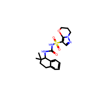 CC1(C)CCc2ccccc2C1NC(=O)NS(=O)(=O)c1cnn2c1OCCC2